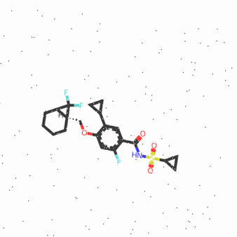 O=C(NS(=O)(=O)C1CC1)c1cc(C2CC2)c(OC[C@]23CCCC[C@H]2C3(F)F)cc1F